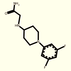 NC(=O)CNC1CCN(c2cc(F)cc(F)c2)CC1